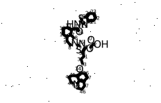 O=C(O)Oc1nc(N2CCc3cccc(C(=O)Nc4nc5ccccc5s4)c3C2)sc1CCCOc1ccc2c3c1CCCN3CCC2